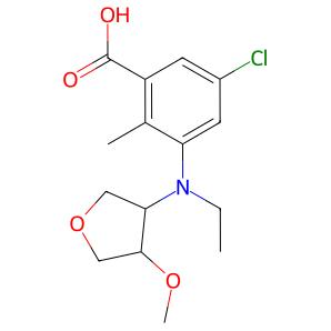 CCN(c1cc(Cl)cc(C(=O)O)c1C)C1COCC1OC